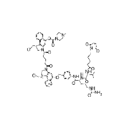 CC(C)C(NC(=O)CCCCCN1C(=O)C=CC1=O)C(=O)NC(CCCNC(N)=O)C(=O)Nc1ccc(COc2cc3c(c4ccccc24)[C@H](CCl)CN3C(=O)CCCC(=O)N2CC(CCl)c3c2cc(OC(=O)N2CCN(C)CC2)c2ccccc32)cc1